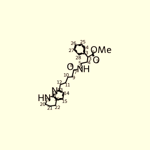 COC(=O)C(CCNC(=O)CCCCc1ccc2c(n1)NCCC2)c1ccccc1